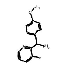 NC(c1ccc(OC(F)(F)F)cc1)c1ncccc1F